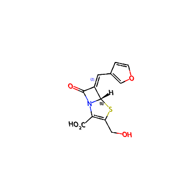 O=C(O)C1=C(CO)S[C@H]2/C(=C\c3ccoc3)C(=O)N12